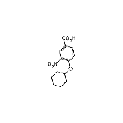 O=C(O)c1ccc(OC2CCCCC2)c([N+](=O)[O-])c1